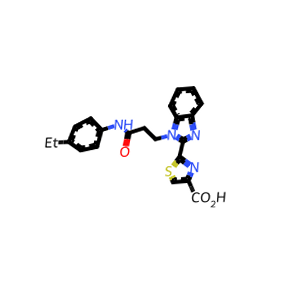 CCc1ccc(NC(=O)CCn2c(-c3nc(C(=O)O)cs3)nc3ccccc32)cc1